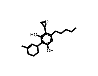 CCCCCc1cc(O)c(C2C=C(C)CCC2)c(O)c1C1CO1